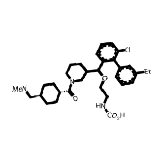 CCc1cccc(-c2c(Cl)cccc2C(OCCNC(=O)O)C2CCCN(C(=O)[C@H]3CC[C@H](CNC)CC3)C2)c1